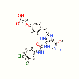 NC(=O)c1nc(Cc2ccc(OCC(=O)O)cc2)[nH]c1NC(=O)Nc1ccc(Cl)c(Cl)c1